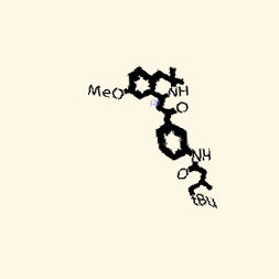 COc1ccc2c(c1)/C(=C/C(=O)c1cccc(NC(=O)CC(C)CC(C)(C)C)c1)NC(C)(C)C2